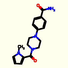 Cn1cccc1C(=O)N1CCN(c2ccc(C(N)=O)cc2)CC1